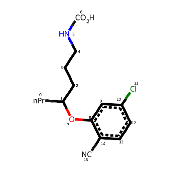 CCCC(CCCNC(=O)O)Oc1cc(Cl)ccc1C#N